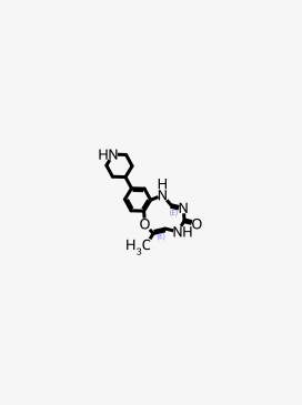 C/C1=C\NC(=O)/N=C/Nc2cc(C3CCNCC3)ccc2O1